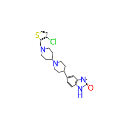 O=C1[N]c2cc(C3CCN(C4CCN(Cc5sccc5Cl)CC4)CC3)ccc2N1